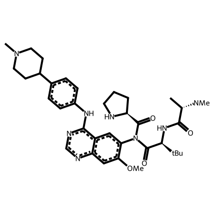 CN[C@@H](C)C(=O)N[C@H](C(=O)N(C(=O)[C@@H]1CCCN1)c1cc2c(Nc3ccc(C4CCN(C)CC4)cc3)ncnc2cc1OC)C(C)(C)C